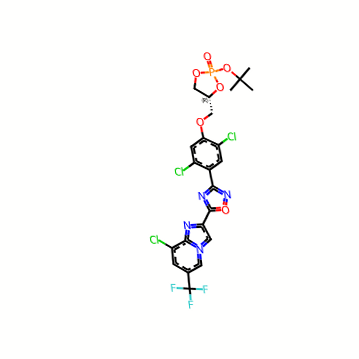 CC(C)(C)OP1(=O)OC[C@@H](COc2cc(Cl)c(-c3noc(-c4cn5cc(C(F)(F)F)cc(Cl)c5n4)n3)cc2Cl)O1